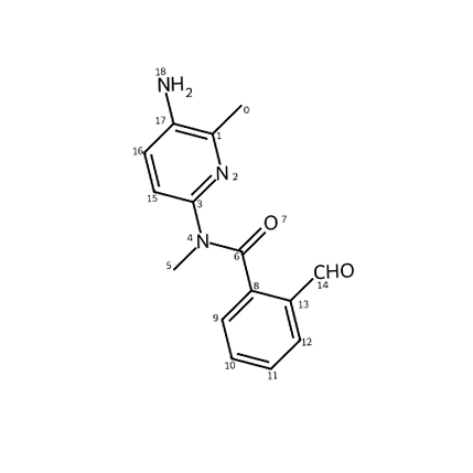 Cc1nc(N(C)C(=O)c2ccccc2C=O)ccc1N